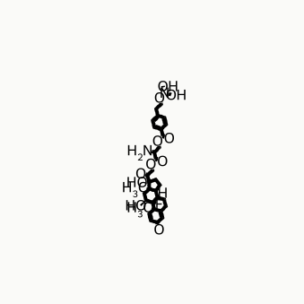 C[C@]12C=CC(=O)C=C1CC[C@H]1C3CCC(O)(C(=O)COC(=O)C(N)COC(=O)c4ccc(CCON(O)O)cc4)[C@@]3(C)C[C@H](O)C12F